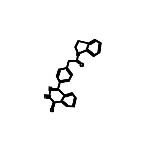 O=C(Cc1ccc(-c2n[nH]c(=O)c3ccccc23)cc1)N1CCc2ccccc21